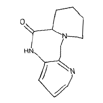 O=C1Nc2cccnc2N2CCCCC12